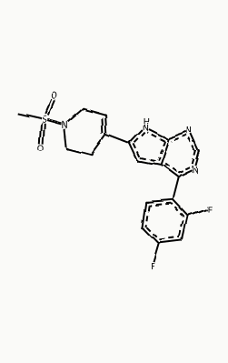 CS(=O)(=O)N1CC=C(c2cc3c(-c4ccc(F)cc4F)ncnc3[nH]2)CC1